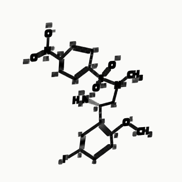 COc1ccc(F)cc1[C@H](N)CN(C)S(=O)(=O)c1ccc([N+](=O)[O-])cc1